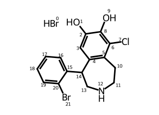 Br.Oc1cc2c(c(Cl)c1O)CCNCC2c1ccccc1Br